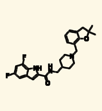 CC1(C)Cc2cccc(CN3CCC(CNC(=O)c4cc5cc(F)cc(F)c5[nH]4)CC3)c2O1